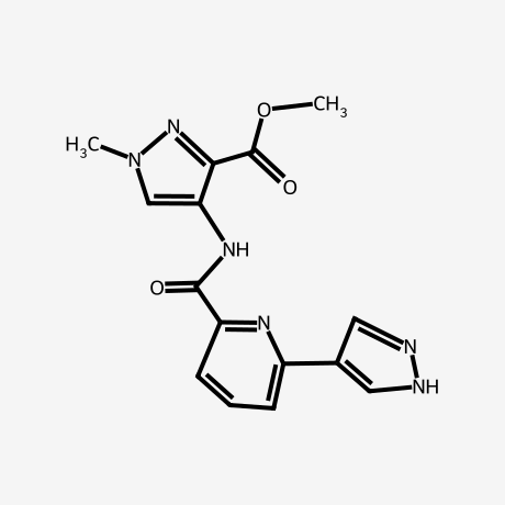 COC(=O)c1nn(C)cc1NC(=O)c1cccc(-c2cn[nH]c2)n1